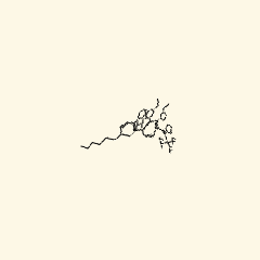 CCCCCCc1ccc(O)c(-c2ccc(C(=O)C(F)(F)F)c(OCC)c2OCC)c1